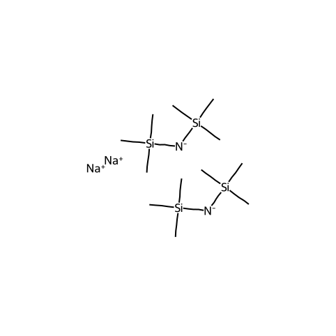 C[Si](C)(C)[N-][Si](C)(C)C.C[Si](C)(C)[N-][Si](C)(C)C.[Na+].[Na+]